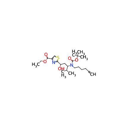 C#CCCCCN(C(=O)OC(C)(C)C)C(CC(O)c1nc(C(=O)OCC)cs1)C(C)C